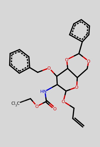 C=CCOC1OC2COC(c3ccccc3)OC2C(OCc2ccccc2)C1NC(=O)OCC(Cl)(Cl)Cl